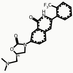 CN(C)C[C@@H]1CN(c2ccc3cc(-c4ccccc4C(F)(F)F)[nH]c(=O)c3c2)C(=O)O1